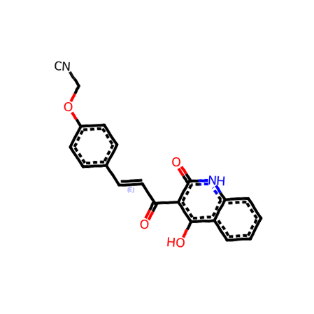 [C-]#[N+]COc1ccc(/C=C/C(=O)c2c(O)c3ccccc3[nH]c2=O)cc1